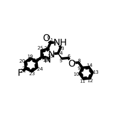 O=C1NC[C@@H](CCOCc2ccccc2)n2nc(-c3ccc(F)cc3)cc21